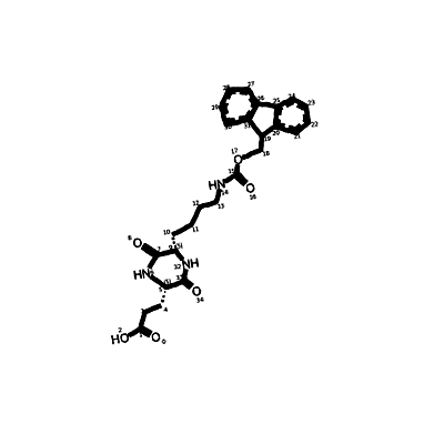 O=C(O)CC[C@@H]1NC(=O)[C@H](CCCCNC(=O)OCC2c3ccccc3-c3ccccc32)NC1=O